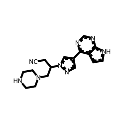 N#CCC(CN1CCNCC1)n1cc(-c2ncnc3[nH]ccc23)cn1